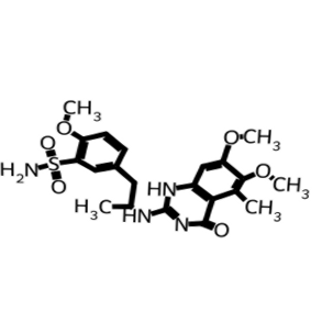 COc1ccc(CC(C)Nc2nc(=O)c3c(C)c(OC)c(OC)cc3[nH]2)cc1S(N)(=O)=O